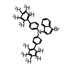 [2H]c1c([2H])c([2H])c(-c2ccc(N(c3ccc(-c4c([2H])c([2H])c([2H])c([2H])c4[2H])cc3)c3ccc(Br)c4ccccc34)cc2)c([2H])c1[2H]